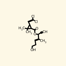 C#CC(OC(=O)C1C(C=C(Cl)Cl)C1(C)C)C(C)=CCCO